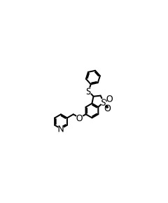 O=S1(=O)CC(Sc2ccccc2)c2cc(OCc3cccnc3)ccc21